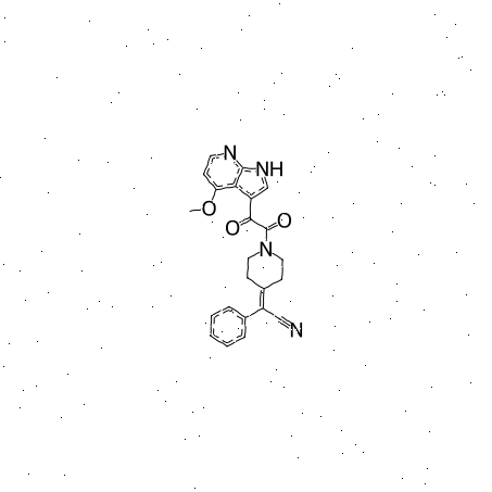 COc1ccnc2[nH]cc(C(=O)C(=O)N3CCC(=C(C#N)c4ccccc4)CC3)c12